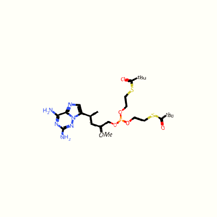 COC(COP(OCCSC(=O)C(C)(C)C)OCCSC(=O)C(C)(C)C)CC(C)c1cnc2c(N)nc(N)nn12